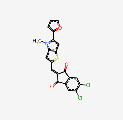 Cn1c(-c2ccco2)cc2sc(C=C3C(=O)c4cc(Cl)c(Cl)cc4C3=O)cc21